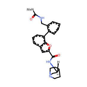 CNC(=O)NCc1ccccc1-c1cccc2cc(C(=O)N[C@H]3CN4CCC3CC4)oc12